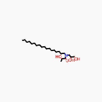 CCCCCCCCCCCCCCCCCCN(CC(O)CO)C(=O)C(C)O